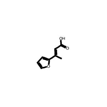 CC(=CC(=O)O)c1ccco1